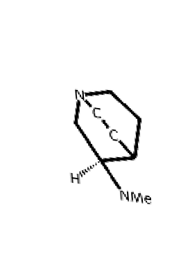 CN[C@H]1CN2CCC1CC2